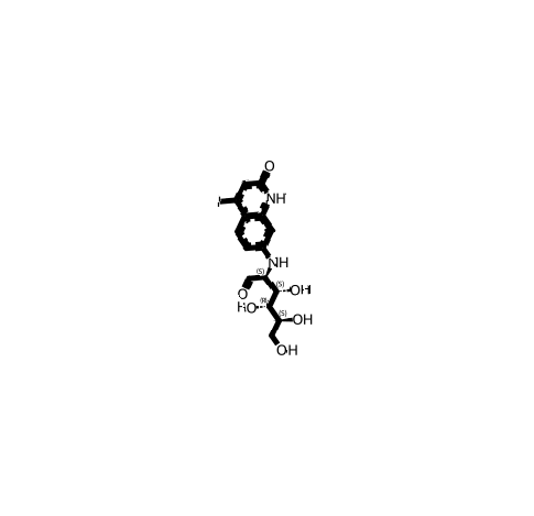 O=C[C@@H](Nc1ccc2c(I)cc(=O)[nH]c2c1)[C@H](O)[C@@H](O)[C@@H](O)CO